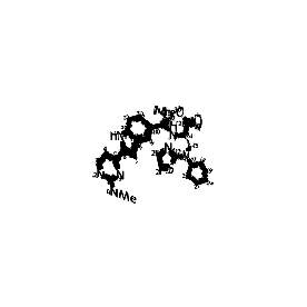 CNc1nccc(-c2cc3cc(C(=O)N[C@@H](CN(c4ccccc4)c4nccs4)C(=O)OC)ccc3[nH]2)n1